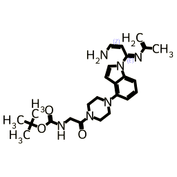 C=C(C)/N=C(\C=C/N)n1ccc2c(N3CCN(C(=O)CNC(=O)OC(C)(C)C)CC3)cccc21